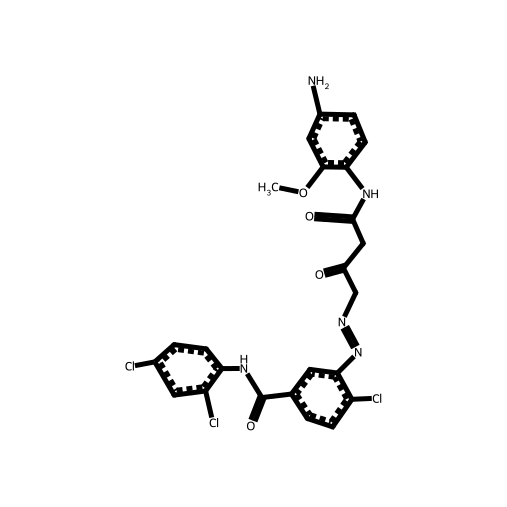 COc1cc(N)ccc1NC(=O)CC(=O)CN=Nc1cc(C(=O)Nc2ccc(Cl)cc2Cl)ccc1Cl